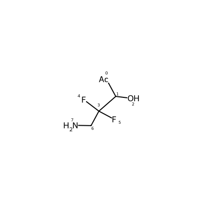 CC(=O)C(O)C(F)(F)CN